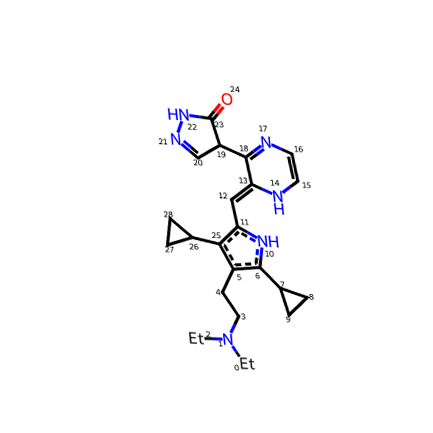 CCN(CC)CCc1c(C2CC2)[nH]c(C=C2NC=CN=C2C2C=NNC2=O)c1C1CC1